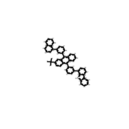 CC(C)(C)c1ccc2c(-c3cccc(-c4cccc5c4sc4ccccc45)c3)c3ccccc3c(-c3cccc(-c4cccc5ccccc45)c3)c2c1